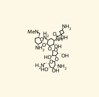 CNC[C@@H]1CC[C@@H](N)[C@@H](O[C@H]2[C@H](O[C@@H]3O[C@H](CO)[C@@H](O[C@H]4O[C@@H](CN)[C@@H](O)[C@H](O)[C@H]4N)[C@H]3O)[C@@H](O)[C@H](NC(=O)C3(O)CC(N)C3)C[C@@H]2N)O1